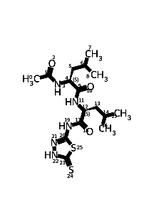 CC(=O)N[C@@H](CC(C)C)C(=O)N[C@@H](CC(C)C)C(=O)Nc1n[nH]c(=S)s1